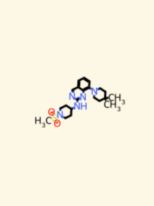 CC1(C)CCN(c2cccc3cnc(NC4CCN(S(C)(=O)=O)CC4)nc23)CC1